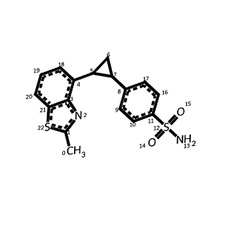 Cc1nc2c(C3CC3c3ccc(S(N)(=O)=O)cc3)cccc2s1